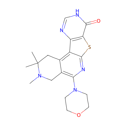 CN1Cc2c(N3CCOCC3)nc3sc4c(=O)[nH]cnc4c3c2CC1(C)C